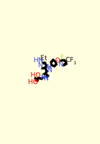 CCNc1cc2c(cn1)c(-c1cnn(C[C@H](O)C(C)(C)O)c1)nn2[C@H]1CC[C@@H](Oc2nccc(C(F)(F)F)c2F)CC1